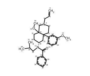 C=CCN1CCC2(c3cccc(OC)c3)C[C@H](N(CC(C)C)C(=O)c3ccccc3)CCC2(OC)C1